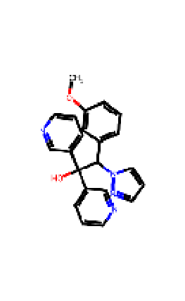 COc1cccc(C(n2cccn2)C(O)(c2cccnc2)c2cccnc2)c1